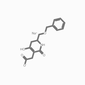 O=C([O-])CC1=C(O)CC(COCc2ccccc2)NC1=O.[Na+]